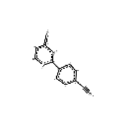 N#Cc1ccc(-c2nc(=O)ccs2)cc1